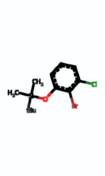 CC(C)(C)[Si](C)(C)Oc1cccc(Cl)c1Br